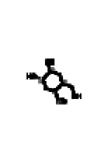 CCCCN1C[C@H](O)[C@@H](O)C[C@H]1CO